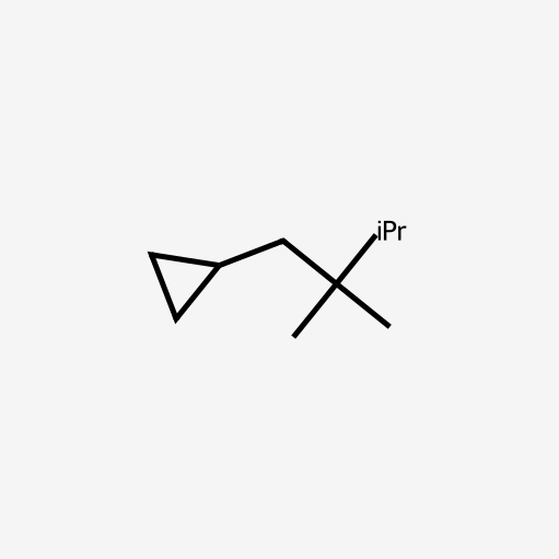 CC(C)C(C)(C)CC1CC1